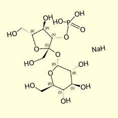 O=P(O)(O)O[C@H]1[C@H](O)[C@@H](CO)O[C@@]1(CO)O[C@H]1O[C@H](CO)[C@@H](O)[C@H](O)[C@H]1O.[NaH]